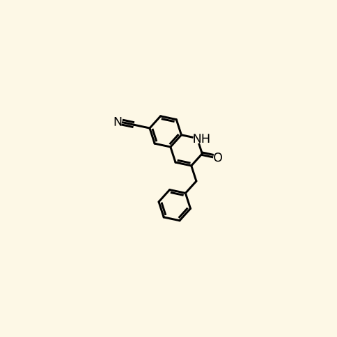 N#Cc1ccc2[nH]c(=O)c(Cc3ccccc3)cc2c1